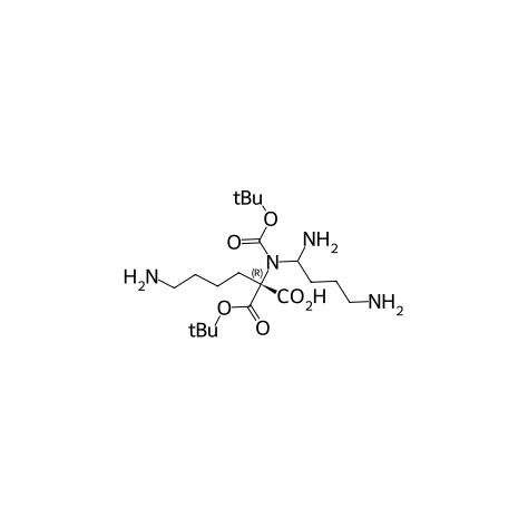 CC(C)(C)OC(=O)N(C(N)CCCN)[C@](CCCCN)(C(=O)O)C(=O)OC(C)(C)C